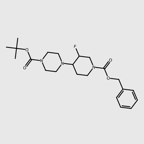 CC(C)(C)OC(=O)N1CCN(C2CCN(C(=O)OCc3ccccc3)CC2F)CC1